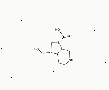 O=C(O)N1CC(CO)C2CCNCC21